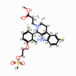 COC(=O)[C@H](C)CN1[C@H](C)Cc2c([nH]c3ccc(F)cc23)[C@H]1C1C(F)=CC=C(OCCOS(C)(=O)=O)C1C